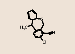 CC1c2ccc(Cl)c(C#N)c2CSC2C=CC=CC21